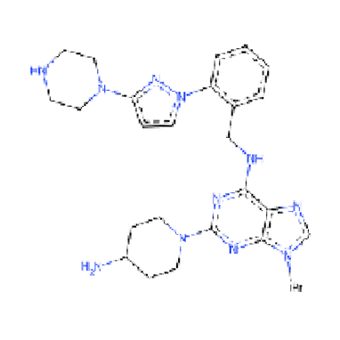 CC(C)n1cnc2c(NCc3ccccc3-n3ccc(N4CCNCC4)n3)nc(N3CCC(N)CC3)nc21